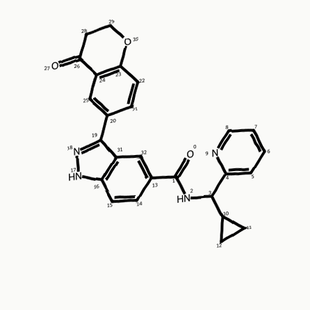 O=C(NC(c1ccccn1)C1CC1)c1ccc2[nH]nc(-c3ccc4c(c3)C(=O)CCO4)c2c1